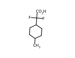 CC1CCC(C(F)(F)C(=O)O)CC1